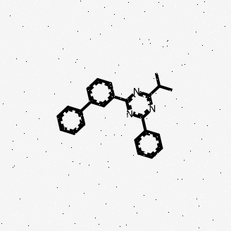 CC(C)c1nc(-c2ccccc2)nc(-c2cccc(-c3ccccc3)c2)n1